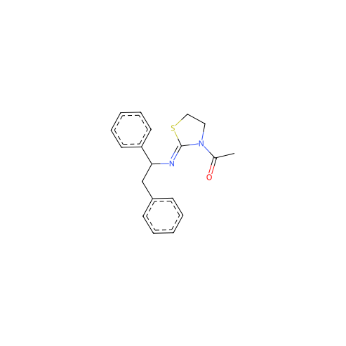 CC(=O)N1CCS/C1=N\C(Cc1ccccc1)c1ccccc1